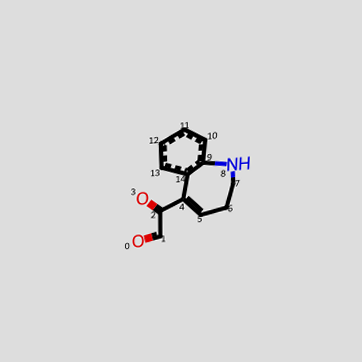 O=CC(=O)C1=CCCNc2ccccc21